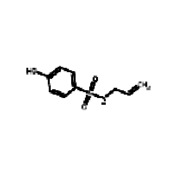 C=CCNS(=O)(=O)c1ccc(O)cc1